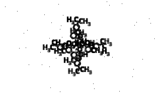 CC(C)C1=CC2=CCC3[C@](CCC(CC[C@@]4(C(=O)O)CCC[C@@]5(C)C4CC=C4C=C(C(C)C)CC[C@@H]45)(CC[C@@]4(C(=O)O)CCC[C@@]5(C)C4CC=C4C=C(C(C)C)CC[C@@H]45)CC[C@@]4(C(=O)O)CCC[C@@]5(C)C4CC=C4C=C(C(C)C)CC[C@@H]45)(C(=O)O)CCC[C@]3(C)[C@H]2CC1